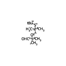 CC(C)(C=O)OCC(C)(C)SC(C)(C)C